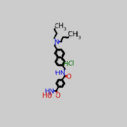 CCCCN(CCCC)Cc1ccc2cc(CNC(=O)c3ccc(C(=O)NO)cc3)ccc2c1.Cl